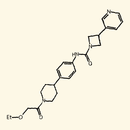 CCOCC(=O)N1CCC(c2ccc(NC(=O)N3CC(c4cccnc4)C3)cc2)CC1